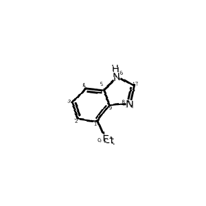 CCc1cccc2[nH][c]nc12